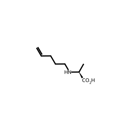 C=CCCCN[C@@H](C)C(=O)O